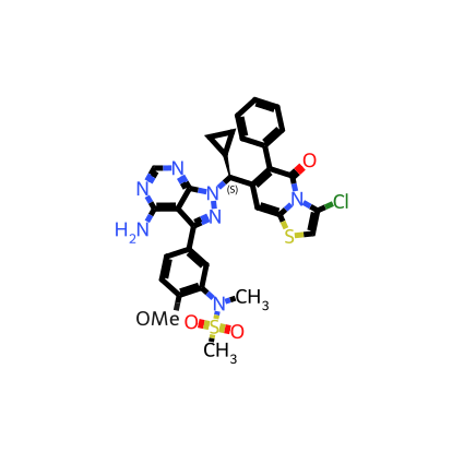 COc1ccc(-c2nn([C@H](c3cc4scc(Cl)n4c(=O)c3-c3ccccc3)C3CC3)c3ncnc(N)c23)cc1N(C)S(C)(=O)=O